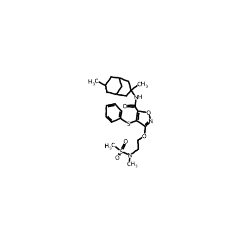 CC1CC2CC(C1)CC(C)(NC(=O)c1onc(OCCN(C)S(C)(=O)=O)c1Sc1ccccc1)C2